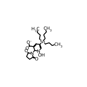 CCC[CH2][Sn]([CH2]CCC)([CH2]CCC)[C]1=CN(O)C(N2C(=O)CCC2=O)C(C(=O)[O-])=C1